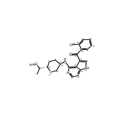 CC(=O)NC(C)[C@@H]1CC[C@@H](Nc2ncnc3[nH]cc(C(=O)c4ccccc4Cl)c23)CO1